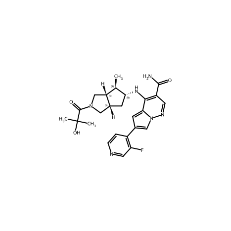 C[C@@H]1[C@H]2CN(C(=O)C(C)(C)O)C[C@H]2C[C@H]1Nc1c(C(N)=O)cnn2cc(-c3ccncc3F)cc12